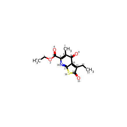 CCOC(=O)C1=C(C)C(=O)C2=C(CC)C(=O)SC2=N1